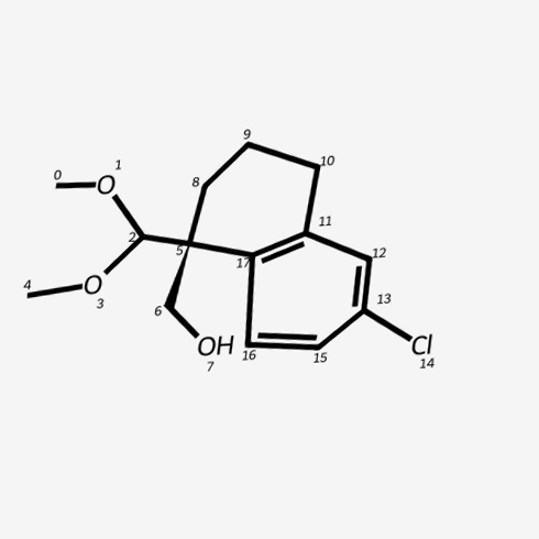 COC(OC)[C@]1(CO)CCCc2cc(Cl)ccc21